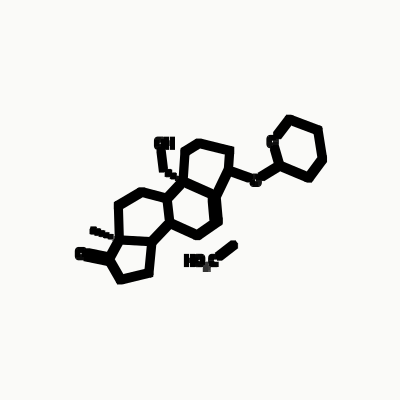 CC(=O)O.C[C@]12CCC3C(CC=C4C(OC5CCCCO5)CCC[C@@]43CO)C1CCC2=O